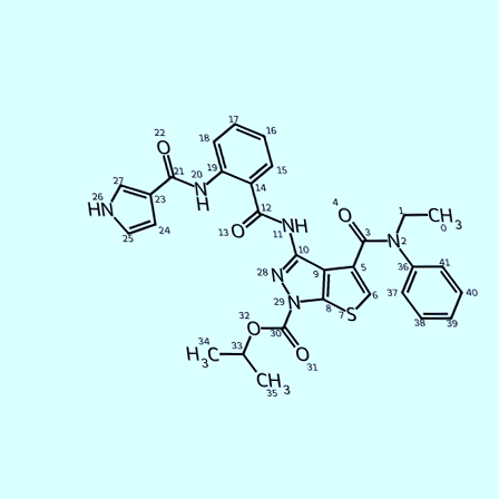 CCN(C(=O)c1csc2c1c(NC(=O)c1ccccc1NC(=O)c1cc[nH]c1)nn2C(=O)OC(C)C)c1ccccc1